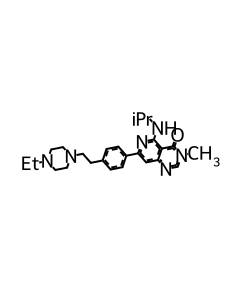 CCN1CCN(CCc2ccc(-c3cc4ncn(C)c(=O)c4c(NC(C)C)n3)cc2)CC1